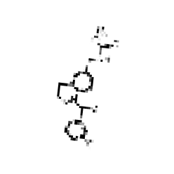 CC(C)(C)OC(=O)NCc1ccc2c(c1)CCCN2C(=O)c1cccc(Cl)c1